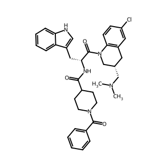 CN(C)C[C@H]1Cc2cc(Cl)ccc2N(C(=O)[C@@H](Cc2c[nH]c3ccccc23)NC(=O)C2CCN(C(=O)c3ccccc3)CC2)C1